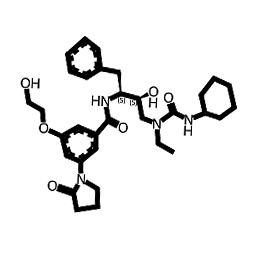 CCN(C[C@H](O)[C@H](Cc1ccccc1)NC(=O)c1cc(OCCO)cc(N2CCCC2=O)c1)C(=O)NC1CCCCC1